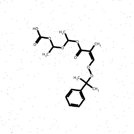 CC(=COOC(C)(C)c1ccccc1)C(=O)OC(C)OC(C)OC(=O)O